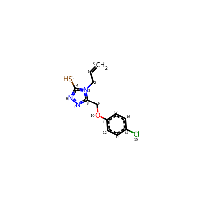 C=CCn1c(S)nnc1COc1ccc(Cl)cc1